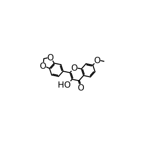 COc1ccc2c(=O)c(O)c(-c3ccc4c(c3)OCO4)oc2c1